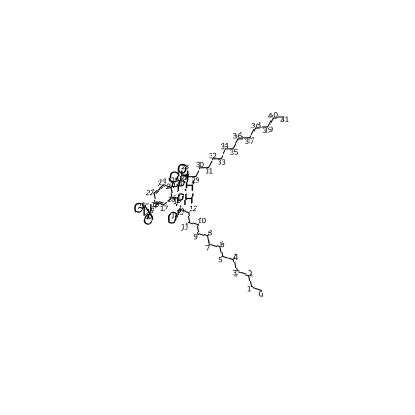 CCCCCCCCCCCCCC(=O)PC1C=C([N+](=O)[O-])C=CC1(O)PC(=O)CCCCCCCCCCCCC